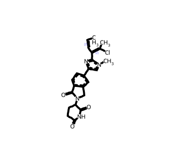 C/C=C\C(=C(/C)Cl)c1nc(-c2ccc3c(c2)CN(C2CCC(=O)NC2=O)C3=O)cn1C